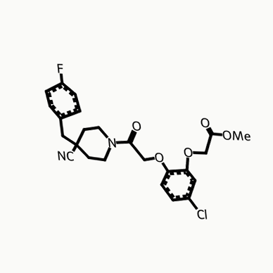 COC(=O)COc1cc(Cl)ccc1OCC(=O)N1CCC(C#N)(Cc2ccc(F)cc2)CC1